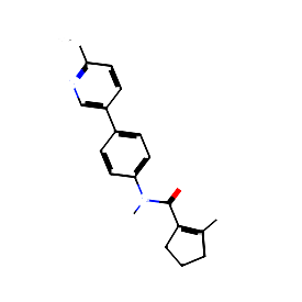 COc1ccc(-c2ccc(N(C(=O)C3=C(C(=O)O)CCC3)C(F)(F)F)cc2)cn1